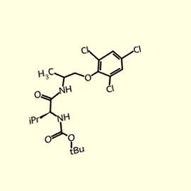 CC(COc1c(Cl)cc(Cl)cc1Cl)NC(=O)[C@@H](NC(=O)OC(C)(C)C)C(C)C